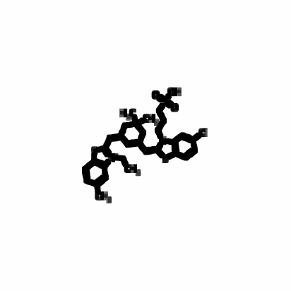 CC[n+]1c(C=C2C=C(C=C3Sc4ccc(Cl)cc4N3CCCS(=O)(=O)O)CC(C)(C)C2)sc2ccc(C)cc21